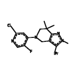 CC(C)c1c2c(nn1C)C(C)(C)CN(c1cc(Cl)ncc1F)C2